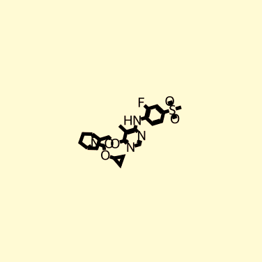 Cc1c(Nc2ccc(S(C)(=O)=O)cc2F)ncnc1OCC1CC2CCC1N2C(=O)OC1CC1